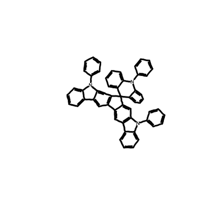 c1ccc(N2c3ccccc3C3(c4cc5c(cc4-c4cc6c7ccccc7n(-c7ccccc7)c6cc43)c3ccccc3n5-c3ccccc3)c3ccccc32)cc1